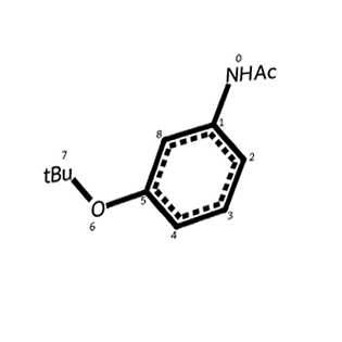 CC(=O)Nc1cccc(OC(C)(C)C)c1